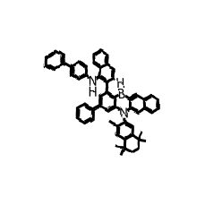 Cc1cc2c(cc1N1c3cc4ccccc4cc3Bc3c(-c4ccc5ccccc5c4Nc4ccc(-c5ccccc5)cc4)cc(-c4ccccc4)cc31)C(C)(C)CCC2(C)C